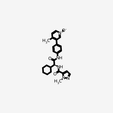 Cc1cc[n+]([O-])cc1-c1ccc(NC(=O)[C@@H](NC(=O)c2ccnn2C)C2CCCCC2)cc1